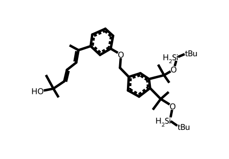 CC(=CC=CC(C)(C)O)c1cccc(OCc2ccc(C(C)(C)O[SiH2]C(C)(C)C)c(C(C)(C)O[SiH2]C(C)(C)C)c2)c1